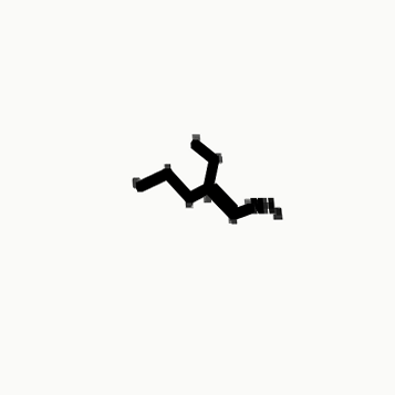 CCC/C(=C/N)CC